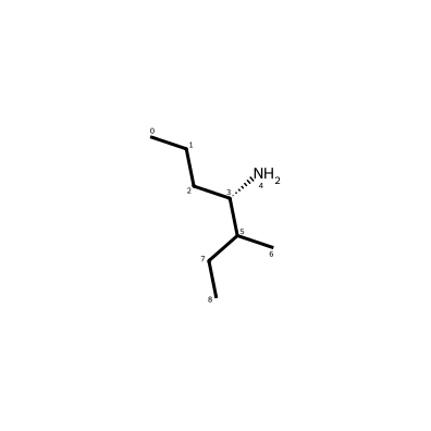 CCC[C@H](N)C(C)CC